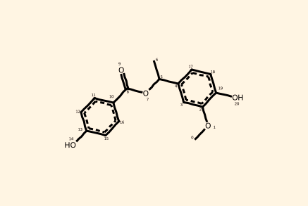 COc1cc(C(C)OC(=O)c2ccc(O)cc2)ccc1O